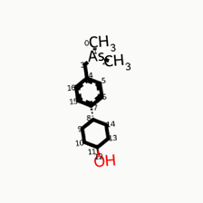 C[As](C)Cc1ccc([C@H]2CC[C@H](O)CC2)cc1